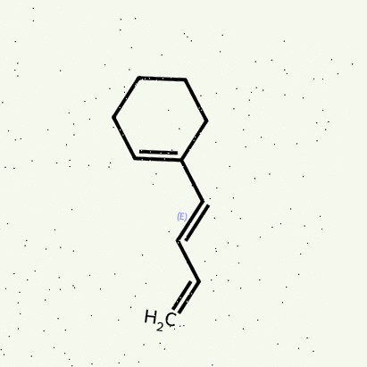 C=C/C=C/C1=CCCCC1